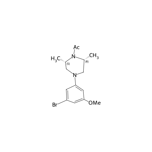 COc1cc(Br)cc(N2C[C@@H](C)N(C(C)=O)[C@@H](C)C2)c1